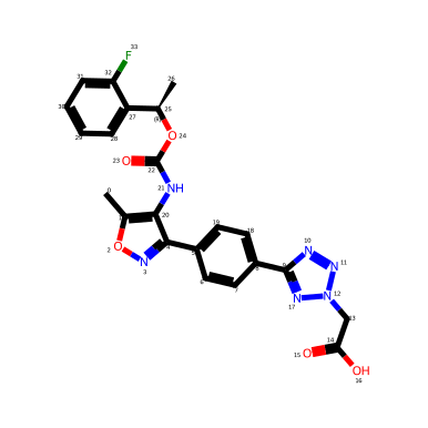 Cc1onc(-c2ccc(-c3nnn(CC(=O)O)n3)cc2)c1NC(=O)O[C@H](C)c1ccccc1F